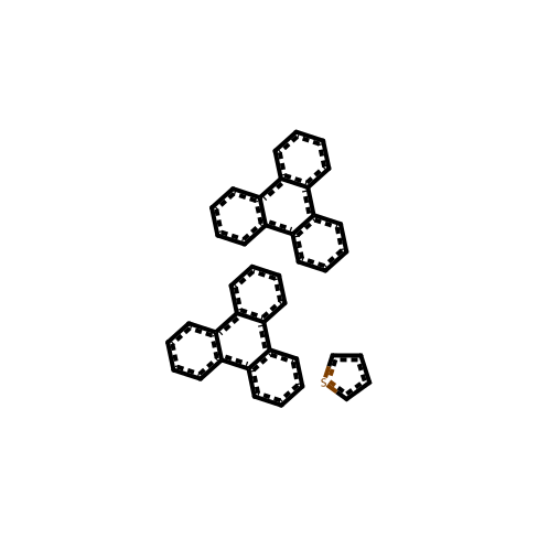 c1ccc2c(c1)c1ccccc1c1ccccc21.c1ccc2c(c1)c1ccccc1c1ccccc21.c1ccsc1